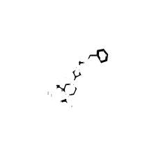 CC(C)(C)[C@]1(C)CN(C2CN(C(=O)OCc3ccccc3)C2)CCN1C(=O)O